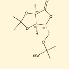 CC1(C)O[C@@H]2[C@@H](CO[Si](C)(C)C(C)(C)C)OC(=O)[C@]2(C)O1